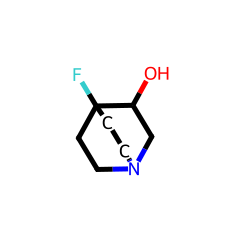 OC1CN2CCC1(F)CC2